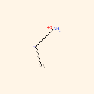 CCCCCCCC/C=C\CCCCCCCCCC(N)O